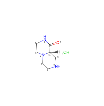 Cl.O=C1NCCN2CCNC[C@@H]12